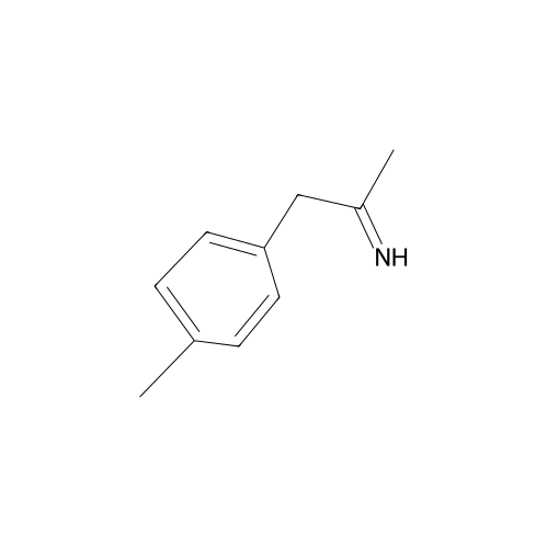 CC(=N)Cc1ccc(C)cc1